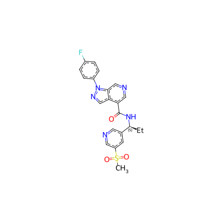 CC[C@H](NC(=O)c1cncc2c1cnn2-c1ccc(F)cc1)c1cncc(S(C)(=O)=O)c1